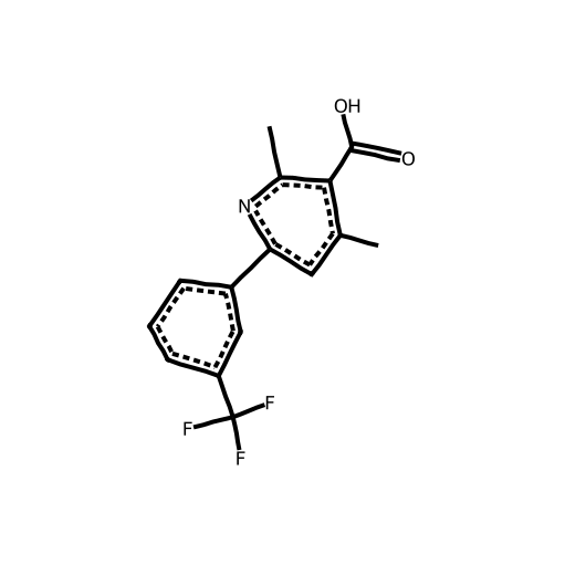 Cc1cc(-c2cccc(C(F)(F)F)c2)nc(C)c1C(=O)O